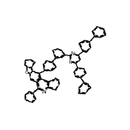 c1ccc(-c2ccc(-c3cc(-c4ccc(-c5ccccc5)cc4)nc(-c4cccc(-c5ccc(-c6c7c(cc8c(-c9ccccc9)nc9ccccc9c68)oc6ccccc67)cc5)c4)n3)cc2)cc1